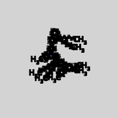 CCCCCCCCC1(CCCCCCCC)c2ccccc2-c2ccc(-c3ccc(N(c4ccc(C)cc4)c4ccc5c(c4)C(CCCCCCCC)(CCCCCCCC)c4cc(N(c6ccc(C)cc6)c6ccc(C(C)CC)cc6)ccc4-5)cc3)cc21